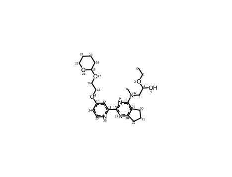 CCOC(O)CN(C)c1nc(-c2cc(OCCOC3CCCCO3)ccn2)nc2c1CCC2